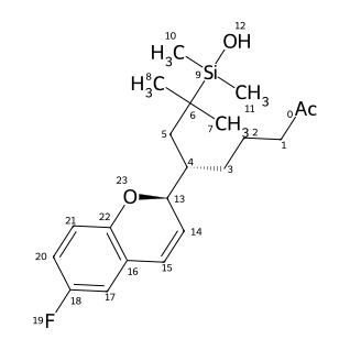 CC(=O)CCC[C@@H](CC(C)(C)[Si](C)(C)O)[C@H]1C=Cc2cc(F)ccc2O1